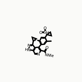 CNC(=O)c1ncc2[nH]nc(C3CC3)c2c1-c1cc(C)c(C2([SH](=O)=O)CC2)cc1F